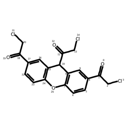 O=C(CCl)c1ccc2c(c1)C(C(=O)CCl)c1cc(C(=O)CCl)ccc1O2